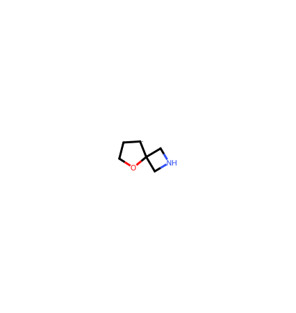 [CH]1CCOC12CNC2